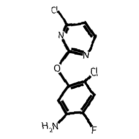 Nc1cc(Oc2nccc(Cl)n2)c(Cl)cc1F